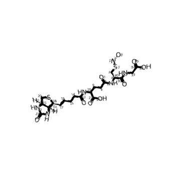 O=NSC[C@H](NC(=O)CCC(NC(=O)CCCC[C@@H]1SC[C@@H]2NC(=O)N[C@@H]21)C(=O)O)C(=O)NCC(=O)O